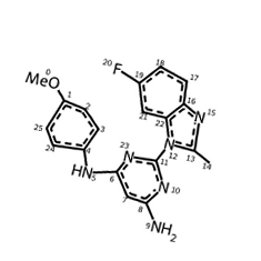 COc1ccc(Nc2cc(N)nc(-n3c(C)nc4ccc(F)cc43)n2)cc1